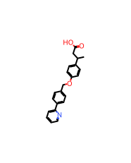 CC(CC(=O)O)c1ccc(OCc2ccc(-c3ccccn3)cc2)cc1